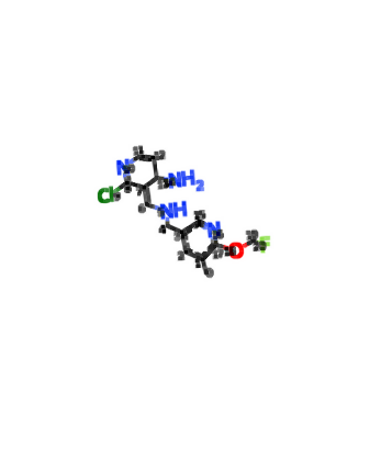 Cc1cc(CN/C=C2/C(Cl)=NC=CC2N)cnc1OCF